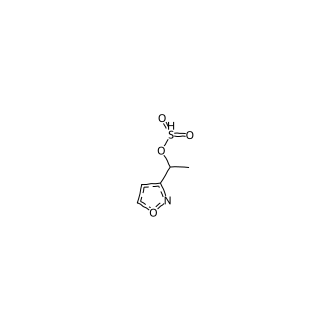 CC(O[SH](=O)=O)c1ccon1